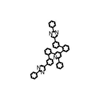 c1ccc(-c2cc(-c3ccccc3-c3cccc(-c4cnc(-c5ccccc5)nc4)c3)cc(-c3ccccc3-c3cccc(-c4cnc(-c5ccccc5)nc4)c3)n2)cc1